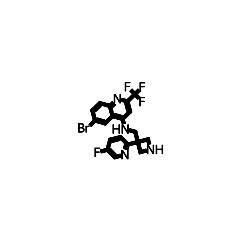 Fc1ccc(C2(CNc3cc(C(F)(F)F)nc4ccc(Br)cc34)CNC2)nc1